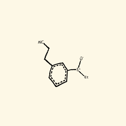 CC[S+]([O-])c1cccc(CCC#N)c1